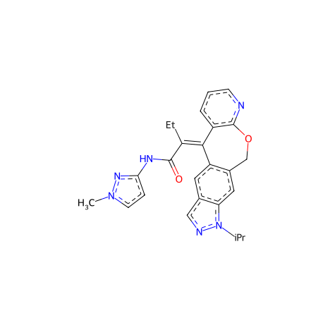 CCC(C(=O)Nc1ccn(C)n1)=C1c2cc3cnn(C(C)C)c3cc2COc2ncccc21